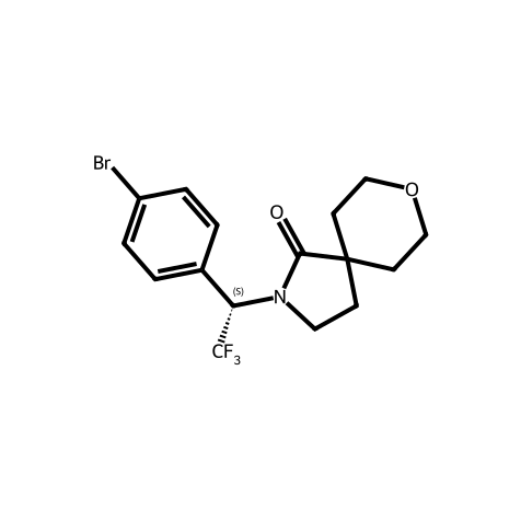 O=C1N([C@@H](c2ccc(Br)cc2)C(F)(F)F)CCC12CCOCC2